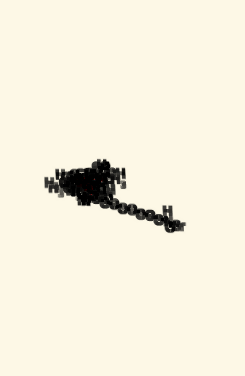 CC[C@H](C)[C@@H]([C@@H](CC(=O)N1CCC[C@H]1[C@H](OC)[C@@H](C)C(=O)N[C@H](C)[C@@H](O)c1ccccc1)OC)N(C)C(=O)[C@@H](NC(=O)[C@H](C(C)C)N(C)C(=O)OC(Cc1cn(CCOCCOCCOCCOCCOCCOCCOCCOCCNC(=O)CBr)nn1)c1ccc(O[C@@H]2O[C@H](C(=O)O)[C@@H](O)[C@H](O)[C@H]2O)c([N+](=O)[O-])c1)C(C)C